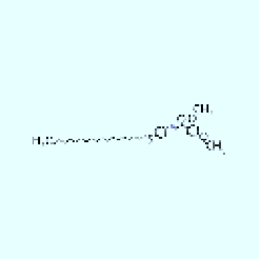 CCCCCCCCCCCCCCCCCCCSc1ccc(/C=C/C(=O)c2ccc(OCC)cc2OCC)cc1